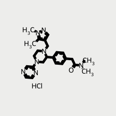 Cc1c(CN2CCN(c3cnccn3)CC2c2ccc(CC(=O)N(C)C)cc2)cnn1C.Cl